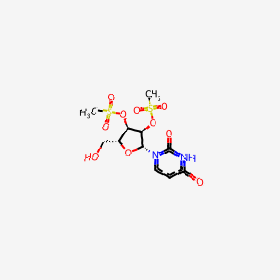 CS(=O)(=O)O[C@@H]1[C@H](OS(C)(=O)=O)[C@@H](CO)O[C@H]1n1ccc(=O)[nH]c1=O